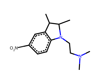 CC1c2cc([N+](=O)[O-])ccc2N(CCN(C)C)C1C